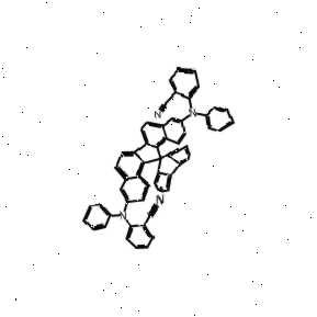 N#Cc1ccccc1N(c1ccccc1)c1ccc2c3c(ccc2c1)-c1ccc2cc(N(c4ccccc4)c4ccccc4C#N)ccc2c1C31c2ccccc2-c2ccccc21